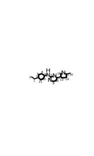 CCc1ccc(Nc2nccc(-c3ccc(C)nc3)n2)cc1